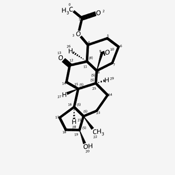 CC(=O)OC1CCC[C@@]2(C=O)[C@H]1C(=O)C[C@H]1[C@@H]3CC[C@H](O)[C@@]3(C)CC[C@@H]12